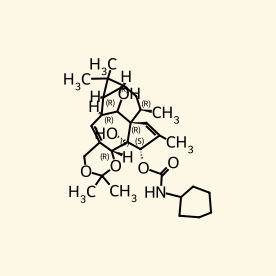 CC1=C[C@]23C(O)[C@@H](C=C4COC(C)(C)O[C@H]4[C@]2(O)[C@H]1OC(=O)NC1CCCCC1)[C@H]1[C@@H](C[C@H]3C)C1(C)C